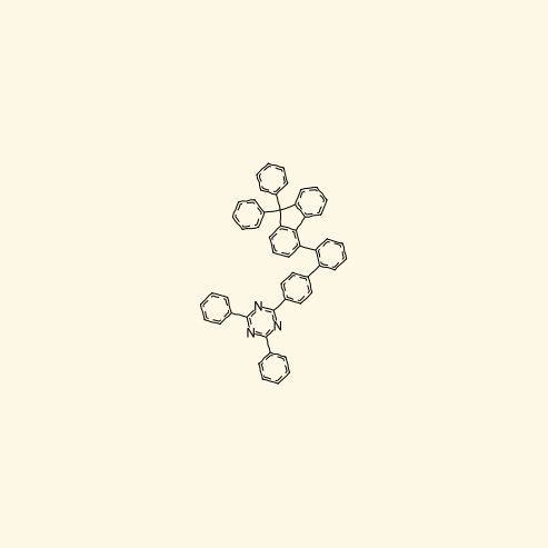 c1ccc(-c2nc(-c3ccccc3)nc(-c3ccc(-c4ccccc4-c4cccc5c4-c4ccccc4C5(c4ccccc4)c4ccccc4)cc3)n2)cc1